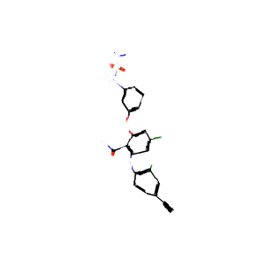 C#Cc1ccc(Nc2cc(F)cc(Oc3cccc(NS(=O)(=O)N(C)C)c3)c2C(N)=O)c(F)c1